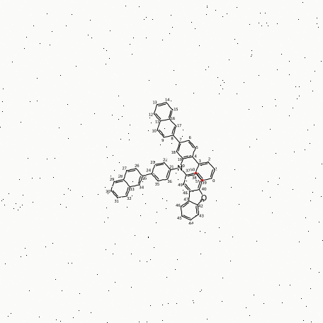 c1ccc(-c2ccc(-c3ccc4ccccc4c3)cc2N(c2ccc(-c3ccc4ccccc4c3)cc2)c2ccc3oc4ccccc4c3c2)cc1